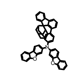 c1ccc2c(c1)-c1cccc(-c3ccc(N(c4ccc5c(c4)oc4ccccc45)c4ccc5c(c4)oc4ccccc45)cc3)c1C21C2CC3CC(C2)CC1C3